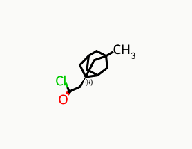 CC12CC3CC(C1)[C@](CC(=O)Cl)(C3)C2